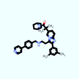 Cc1cc(C)cc(-c2nc3ccc(C(C)(C)C(=O)N4C5CCC4CC5)cn3c2CCNCc2ccc(-c3ccncc3)cc2)c1